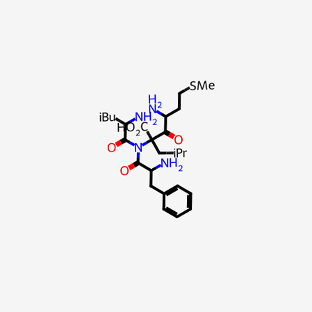 CCC(C)C(N)C(=O)N(C(=O)C(N)Cc1ccccc1)C(CC(C)C)(C(=O)O)C(=O)C(N)CCSC